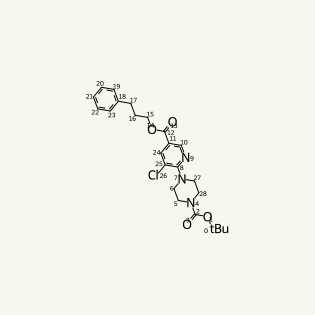 CC(C)(C)OC(=O)N1CCN(c2ncc(C(=O)OCCCc3ccccc3)cc2Cl)CC1